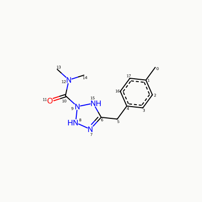 Cc1ccc(CC2=NNN(C(=O)N(C)C)N2)cc1